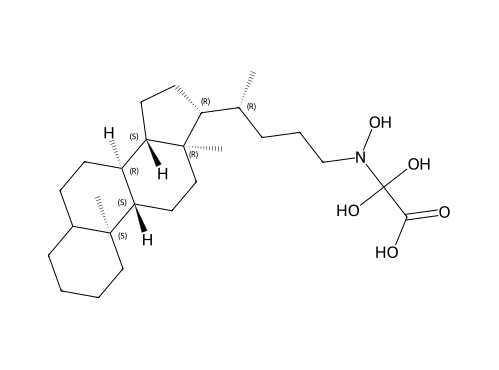 C[C@H](CCCN(O)C(O)(O)C(=O)O)[C@H]1CC[C@H]2[C@@H]3CCC4CCCC[C@]4(C)[C@H]3CC[C@]12C